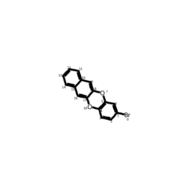 Brc1ccc2c(c1)Oc1cc3ccccc3cc1O2